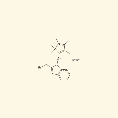 CC1=C(C)C(C)(C)[C]([Zr+2][CH]2C(CC(C)C)=Cc3ccccc32)=C1C.[Br-].[Br-]